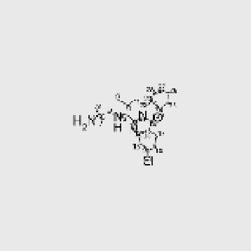 CC(C)C(NCC(C)(C)N)c1nc2cc(Cl)ccc2c(=O)n1Cc1ccccc1